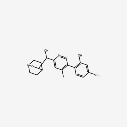 Cc1cc(C(O)C2CN3CCC2CC3)nnc1-c1ccc(C(F)(F)F)cc1O